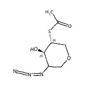 CC(=O)S[C@@H]1COCC(N=[N+]=[N-])[C@H]1O